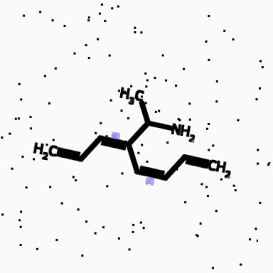 C=C/C=C\C(=C/C=C)C(C)N